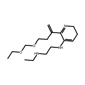 C=C(CCOCOCC)C1=NCCC=C1NCCNCC